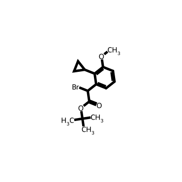 COc1cccc(C(Br)C(=O)OC(C)(C)C)c1C1CC1